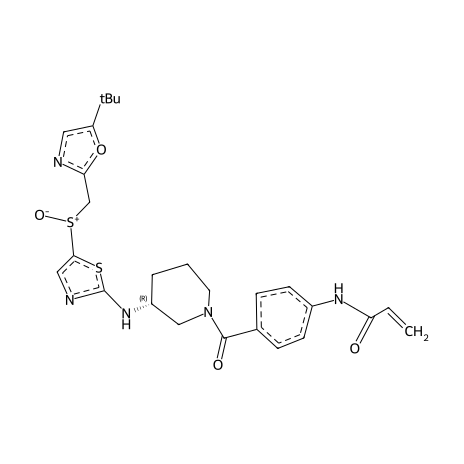 C=CC(=O)Nc1ccc(C(=O)N2CCC[C@@H](Nc3ncc([S+]([O-])Cc4ncc(C(C)(C)C)o4)s3)C2)cc1